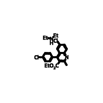 CCNCC.CCOC(=O)c1c(C)nc2ccc(Cl)cc2c1-c1ccc(Cl)cc1